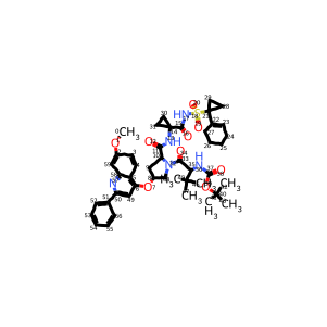 COc1ccc2c(OC3CC(C(=O)NC4(C(=O)NS(=O)(=O)C5(C6=CCCCC6)CC5)CC4)N(C(=O)C(NC(=O)OC(C)(C)C)C(C)(C)C)C3)cc(-c3ccccc3)nc2c1